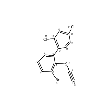 N#CSc1c(Br)cccc1-c1ccc(Cl)cc1Cl